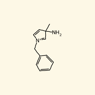 CC1(N)C=C[N+](Cc2ccccc2)=C1